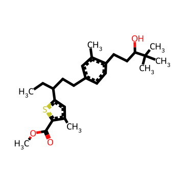 CCC(CCc1ccc(CCC(O)C(C)(C)C)c(C)c1)c1cc(C)c(C(=O)OC)s1